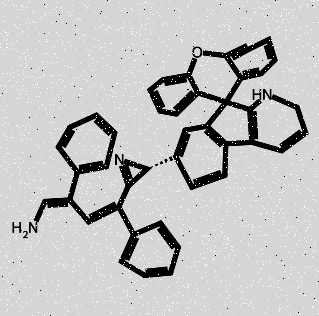 N/C=C(\C=C(/C1=N[C@@H]1c1ccc2c(c1)C1(C3=C2C=CCN3)c2ccccc2Oc2ccccc21)c1ccccc1)c1ccccc1